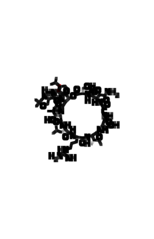 CC[C@H](C)C1NC(=O)[C@@H](CCCNC(=N)N)NC(=O)[C@H](CC(C)C)NC(=O)[C@H]([C@H](O)C(C)C)NC(=O)[C@@H](NC(=O)[C@H](CC(C)C)NC(=O)[C@H](N)COC(C)(C)C)[C@@H](c2ccccc2)OC(=O)[C@H](CO)NC(=O)[C@H]([C@H](O)C(N)=O)NC(=O)CNC(=O)C([C@H](C)O)NC1=O